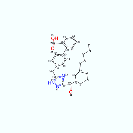 CCCCCC1CCCC(C(=O)c2n[nH]c(Cc3ccc(-c4ccccc4C(=O)O)cc3)n2)C1